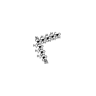 CC(=O)O.CC(=O)O.CC(=O)O.CC(=O)O.CC(=O)O.CC(=O)O.CC(=O)O.CC(=O)O.[Zn].[Zn]